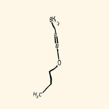 BB=BOCCC